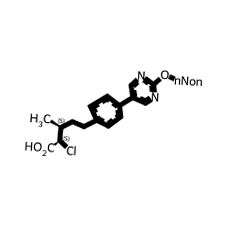 CCCCCCCCCOc1ncc(-c2ccc(CC[C@H](C)[C@H](Cl)C(=O)O)cc2)cn1